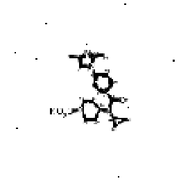 Cc1cn(-c2ccc(C(=O)N(C3CC3)C3CCN(C(=O)O)CC3)cc2)c(C)n1